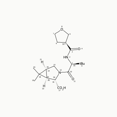 CC(C)(C)[C@H](NC(=O)[C@H]1CCOC1)C(=O)N1C[C@H]2[C@@H]([C@H]1C(=O)O)C2(C)C